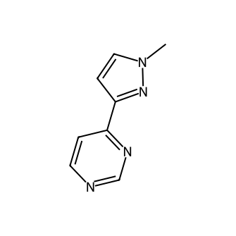 Cn1ccc(-c2ccncn2)n1